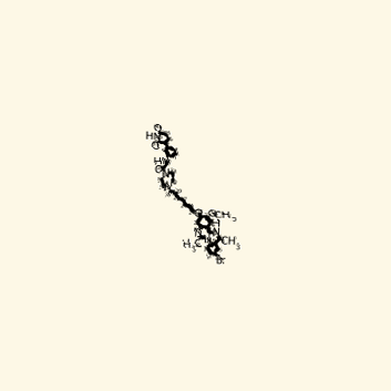 COc1cc2c(N[C@H](C)c3cccc(Br)c3)nc(C)nc2cc1OCCCCCCCN1CCN(C(=O)CNc2cccc(C3CCC(=O)NC3=O)c2)CC1